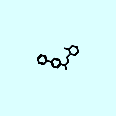 CC(CCN1CCCCC1C)c1ccc(-c2ccccc2)cc1